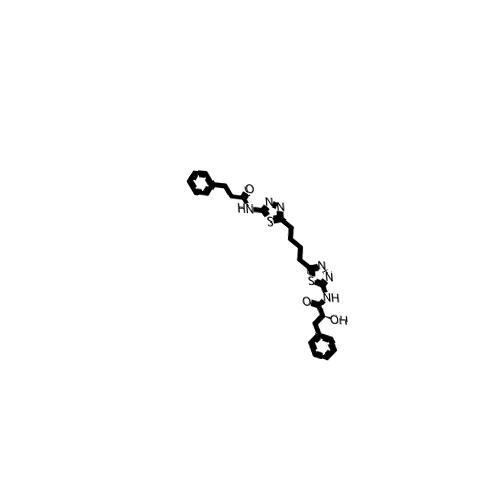 O=C(CCc1ccccc1)Nc1nnc(CCCCc2nnc(NC(=O)[C@H](O)Cc3ccccc3)s2)s1